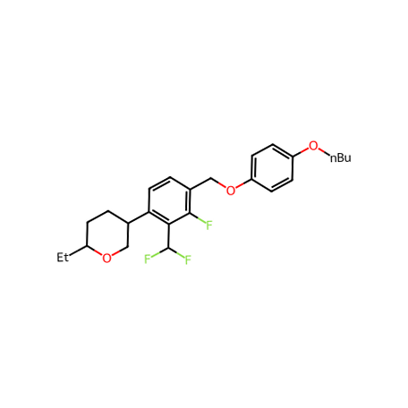 CCCCOc1ccc(OCc2ccc(C3CCC(CC)OC3)c(C(F)F)c2F)cc1